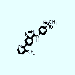 CS(=O)(=O)c1ccc(Nc2ncnc3cc(-c4ncccc4C(F)(F)F)ccc23)cc1